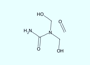 C=O.NC(=O)N(CO)CO